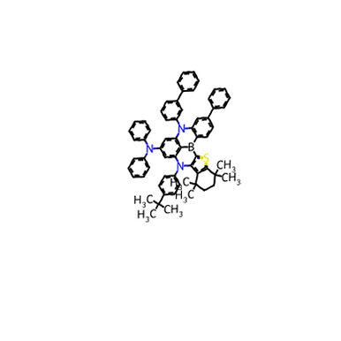 CC(C)(C)c1ccc(N2c3cc(N(c4ccccc4)c4ccccc4)cc4c3B(c3ccc(-c5ccccc5)cc3N4c3cccc(-c4ccccc4)c3)c3sc4c(c32)C(C)(C)CCC4(C)C)cc1